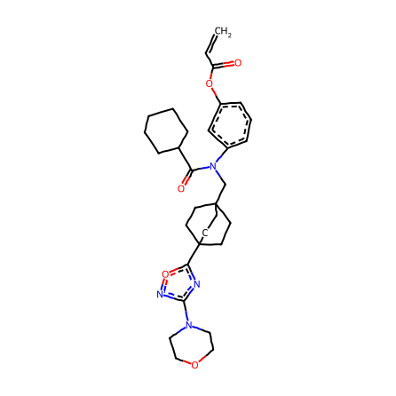 C=CC(=O)Oc1cccc(N(CC23CCC(c4nc(N5CCOCC5)no4)(CC2)CC3)C(=O)C2CCCCC2)c1